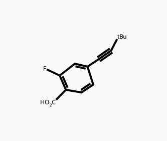 CC(C)(C)C#Cc1ccc(C(=O)O)c(F)c1